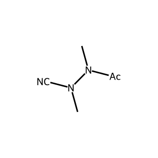 CC(=O)N(C)N(C)C#N